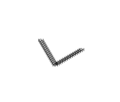 [KH].[KH].[KH].[KH].[KH].[KH].[KH].[KH].[KH].[KH].[KH].[KH].[KH].[KH].[KH].[KH].[KH].[KH].[KH].[KH].[KH].[KH].[KH].[KH].[KH].[KH].[KH].[KH].[KH].[KH].[KH].[KH]